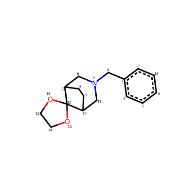 c1ccc(CN2CC3CCC(C2)C32OCCO2)cc1